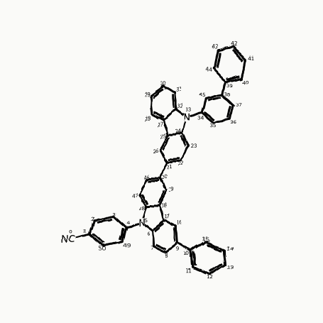 N#Cc1ccc(-n2c3ccc(-c4ccccc4)cc3c3cc(-c4ccc5c(c4)c4ccccc4n5-c4cccc(-c5ccccc5)c4)ccc32)cc1